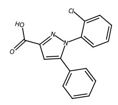 O=C(O)c1cc(-c2ccccc2)n(-c2ccccc2Cl)n1